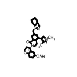 COc1ccc2c(c1)[C@@H](N1CCc3c(cc(Cn4ncc5ccccc54)cc3-c3cn(C)nc3C(F)(F)F)C1=O)CCO2